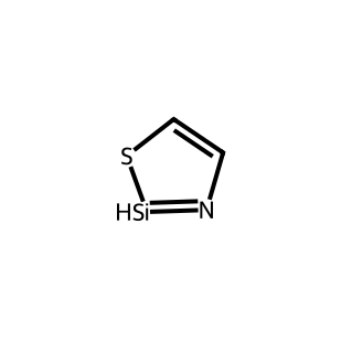 c1cs[siH]n1